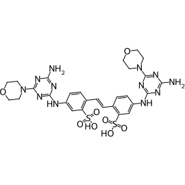 Nc1nc(Nc2ccc(C=Cc3ccc(Nc4nc(N)nc(N5CCOCC5)n4)cc3S(=O)(=O)O)c(S(=O)(=O)O)c2)nc(N2CCOCC2)n1